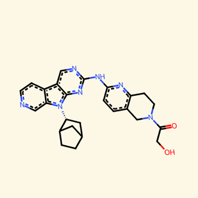 O=C(CO)N1CCc2nc(Nc3ncc4c5ccncc5n([C@@H]5CC6CCC5C6)c4n3)ccc2C1